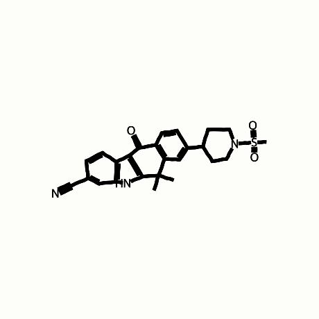 CC1(C)c2cc(C3CCN(S(C)(=O)=O)CC3)ccc2C(=O)c2c1[nH]c1cc(C#N)ccc21